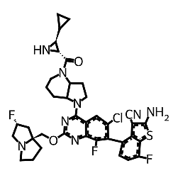 N#Cc1c(N)sc2c(F)ccc(-c3c(Cl)cc4c(N5CCC6C5CCCN6C(=O)[C@@H]5N[C@H]5C5CC5)nc(OC[C@@]56CCCN5C[C@H](F)C6)nc4c3F)c12